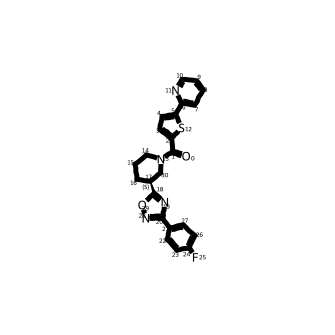 O=C(c1ccc(-c2ccccn2)s1)N1CCC[C@H](c2nc(-c3ccc(F)cc3)no2)C1